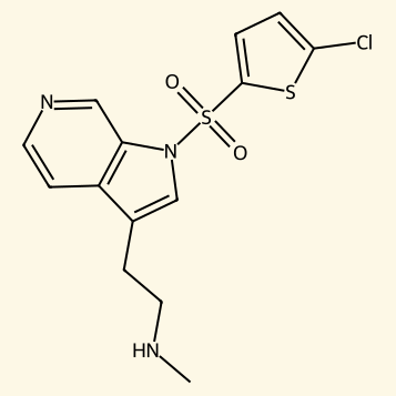 CNCCc1cn(S(=O)(=O)c2ccc(Cl)s2)c2cnccc12